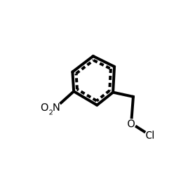 O=[N+]([O-])c1cccc(COCl)c1